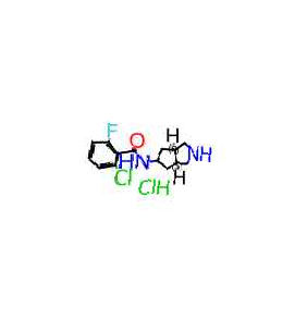 Cl.O=C(NC1C[C@H]2CNC[C@H]2C1)c1c(F)cccc1Cl